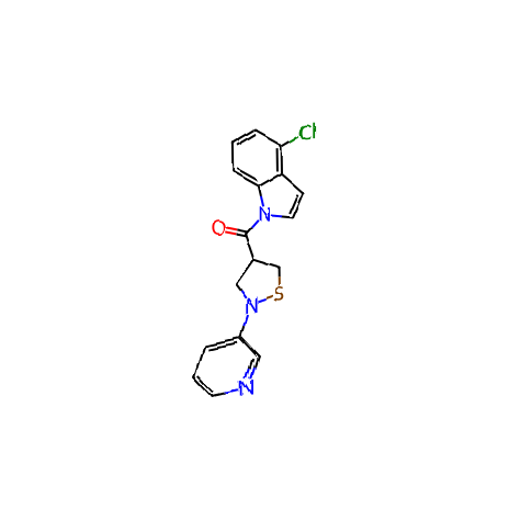 O=C(C1CSN(c2cccnc2)C1)n1ccc2c(Cl)cccc21